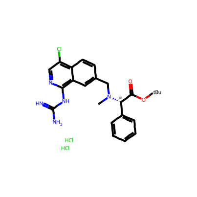 CN(Cc1ccc2c(Cl)cnc(NC(=N)N)c2c1)[C@H](C(=O)OC(C)(C)C)c1ccccc1.Cl.Cl